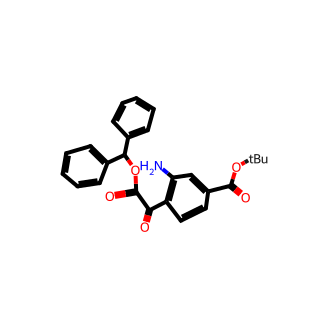 CC(C)(C)OC(=O)c1ccc(C(=O)C(=O)OC(c2ccccc2)c2ccccc2)c(N)c1